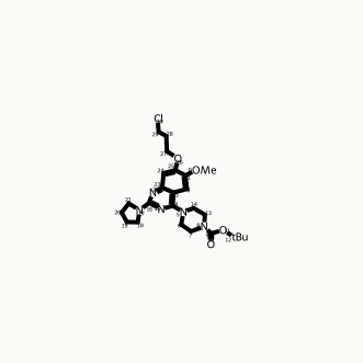 COc1cc2c(N3CCN(C(=O)OC(C)(C)C)CC3)nc(N3CCCC3)nc2cc1OCCCCl